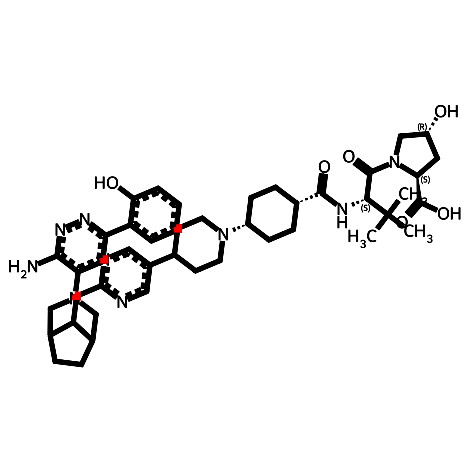 CC(C)(C)[C@H](NC(=O)[C@H]1CC[C@@H](N2CCC(c3cnc(CC4C5CCC4CN(c4cc(-c6ccccc6O)nnc4N)C5)nc3)CC2)CC1)C(=O)N1C[C@H](O)C[C@H]1C(=O)O